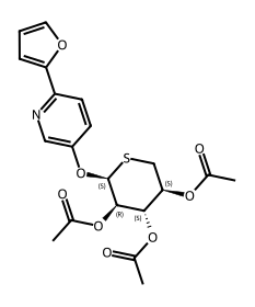 CC(=O)O[C@@H]1[C@@H](OC(C)=O)[C@@H](Oc2ccc(-c3ccco3)nc2)SC[C@H]1OC(C)=O